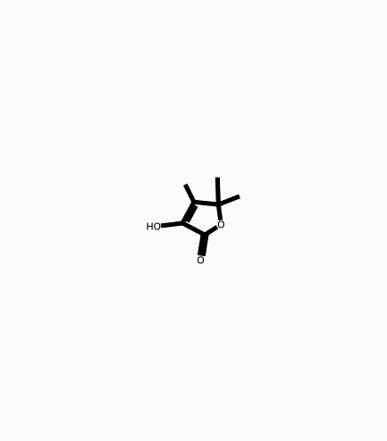 CC1=C(O)C(=O)OC1(C)C